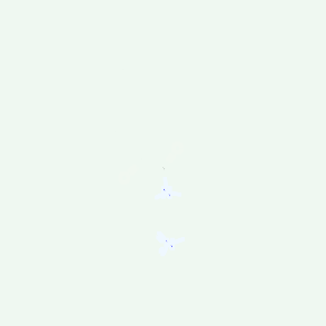 O=C(C(=O)N1Cc2cccn2Cc2ccccc21)c1ccc(Br)cc1Cl